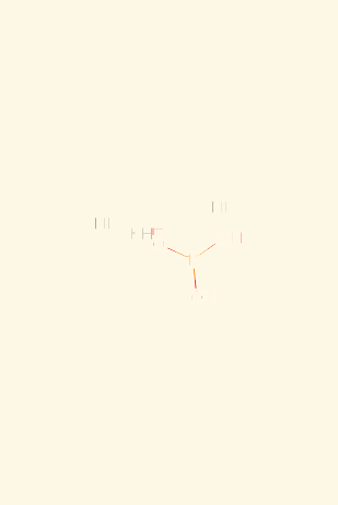 OP(O)O.[HH].[HH].[KH]